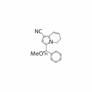 CO[C@H](c1ccccc1)c1cc(C#N)c2n1CCC=C2